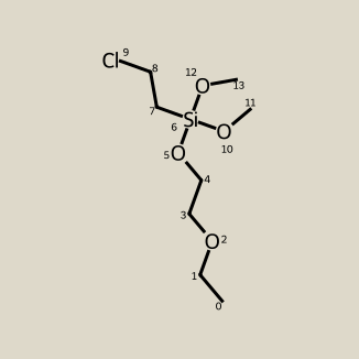 CCOCCO[Si](CCCl)(OC)OC